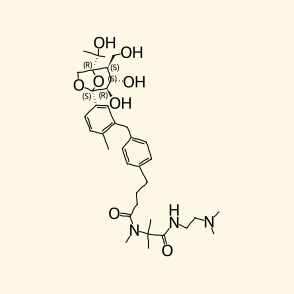 Cc1ccc([C@]23OC[C@](C(C)(C)O)(O2)[C@@H](CO)[C@H](O)[C@H]3O)cc1Cc1ccc(CCCC(=O)N(C)C(C)(C)C(=O)NCCN(C)C)cc1